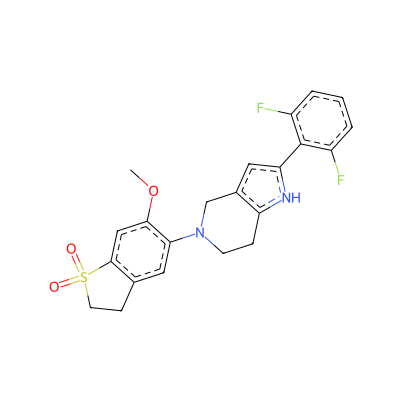 COc1cc2c(cc1N1CCc3[nH]c(-c4c(F)cccc4F)cc3C1)CCS2(=O)=O